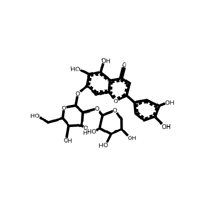 O=c1cc(-c2ccc(O)c(O)c2)oc2cc(OC3OC(CO)C(O)C(O)C3OC3OCC(O)C(O)C3O)c(O)c(O)c12